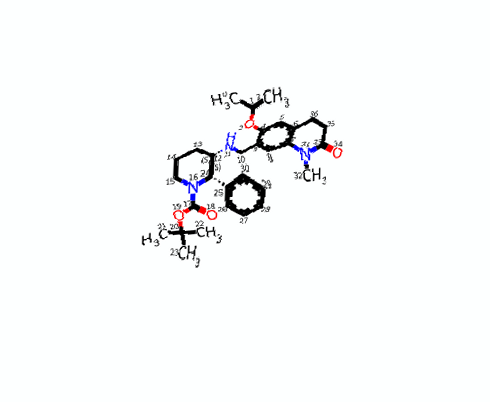 CC(C)Oc1cc2c(cc1CN[C@H]1CCCN(C(=O)OC(C)(C)C)[C@H]1c1ccccc1)N(C)C(=O)CC2